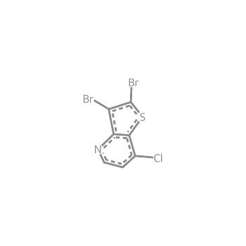 Clc1ccnc2c(Br)c(Br)sc12